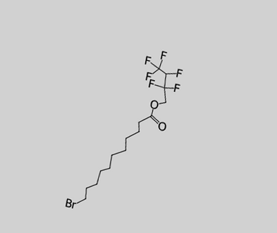 O=C(CCCCCCCCCCBr)OCC(F)(F)C(F)C(F)(F)F